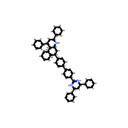 c1ccc(-c2cc(-c3ccccc3)nc(-c3ccc(-c4ccc(-c5cc6nc(-c7ccccc7)cc(-c7ccccc7)c6c6ccccc56)cc4)cc3)n2)cc1